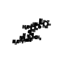 Cc1cc(Nc2cc(C)nc(Oc3ccc(NC(=O)NC4CCCCC4)cc3C)n2)[nH]n1